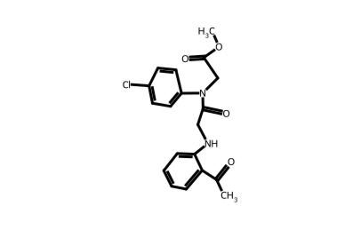 COC(=O)CN(C(=O)CNc1ccccc1C(C)=O)c1ccc(Cl)cc1